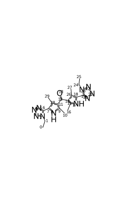 CCn1nnnc1-c1[nH]c(C)c(C(=O)c2c(C)[nH]c(-c3nnnn3CC)c2C)c1C